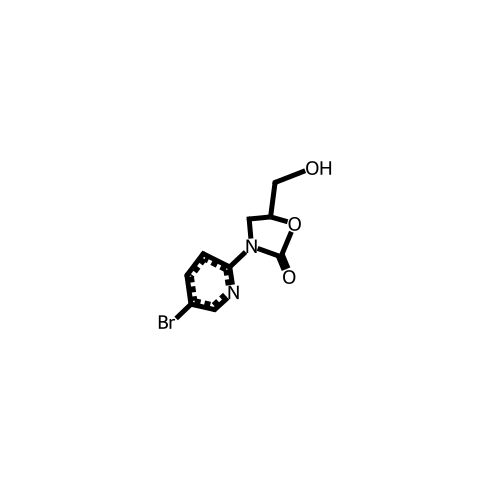 O=C1OC(CO)CN1c1ccc(Br)cn1